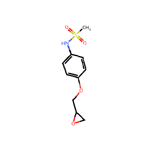 CS(=O)(=O)Nc1ccc(OCC2CO2)cc1